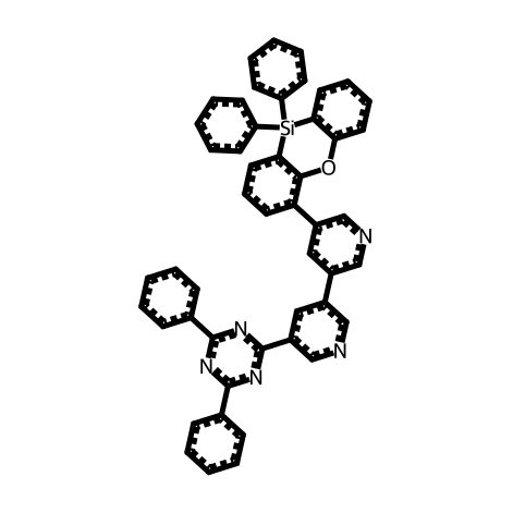 c1ccc(-c2nc(-c3ccccc3)nc(-c3cncc(-c4cncc(-c5cccc6c5Oc5ccccc5[Si]6(c5ccccc5)c5ccccc5)c4)c3)n2)cc1